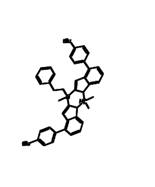 CC(C)(C)c1ccc(-c2cccc3c2C=C2[CH]3[Hf]([CH3])([CH3])[CH]3C(=Cc4c(-c5ccc(C(C)(C)C)cc5)cccc43)[Si]2(C)CCc2ccccc2)cc1